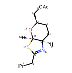 CC(=O)OC[C@H]1[C][C][C@H]2N=C(CC(C)C)S[C@H]2O1